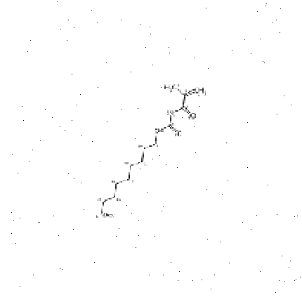 C=C(C)C(=O)NC(=O)OCCCCCCCCCCCCCCCCCC